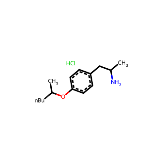 CCCCC(C)Oc1ccc(CC(C)N)cc1.Cl